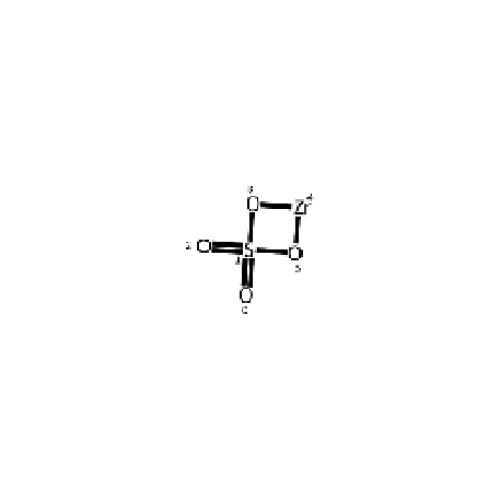 O=S1(=O)[O][Zr][O]1